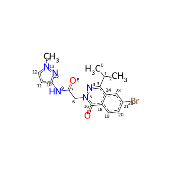 CC(C)c1nn(CC(=O)Nc2ccn(C)n2)c(=O)c2ccc(Br)cc12